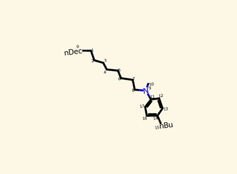 CCCCCCCCCCCCCCCCCCN(C)c1ccc(CCCC)cc1